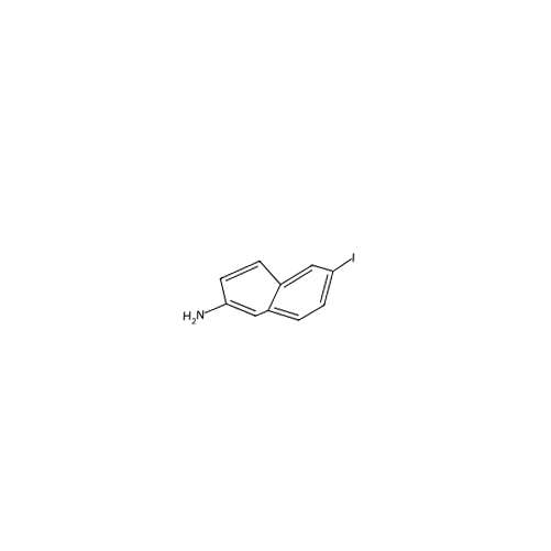 Nc1ccc2cc(I)ccc2c1